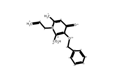 C=CCn1c(C)cc(=O)c(OCc2ccccc2)c1C(=O)O